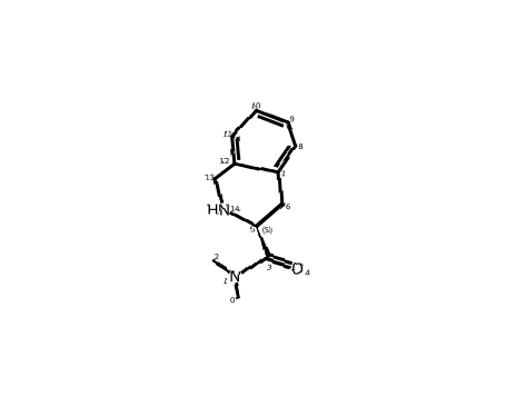 CN(C)C(=O)[C@@H]1Cc2ccccc2CN1